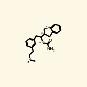 CN(C)CCc1cccc(CC(NC(N)=O)[C@@H](CO)Cc2ccccc2)c1